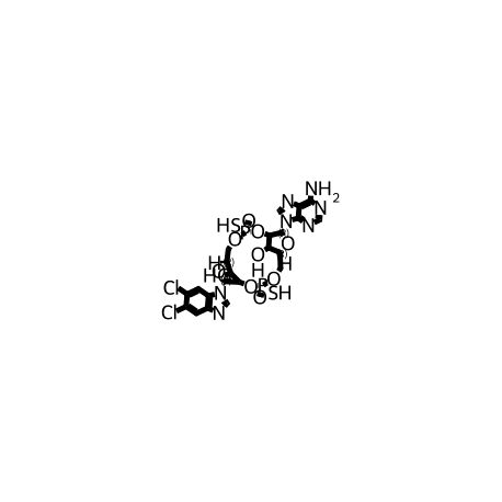 Nc1ncnc2c1ncn2[C@@H]1O[C@@H]2COP(=O)(S)OC3C(O)[C@@H](COP(=O)(S)OC1C2O)O[C@H]3n1cnc2cc(Cl)c(Cl)cc21